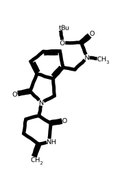 C=C1CCC(N2Cc3c(CN(C)C(=O)OC(C)(C)C)cccc3C2=O)C(=O)N1